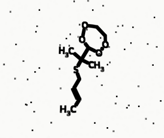 CC=CCSC(C)(C)C1OOCCOO1